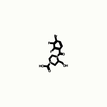 O=C(O)N1CCN(C(=O)c2ccc(Br)c(F)c2F)C(CO)C1